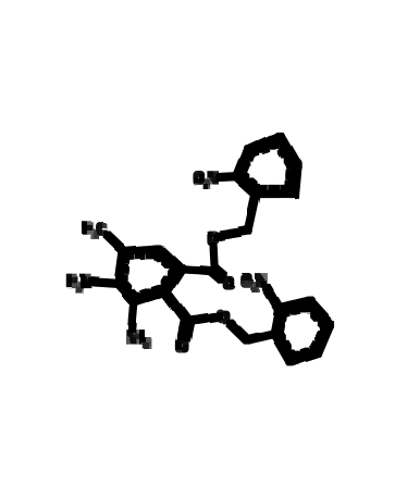 Cc1cc(C(=O)OCc2ccccc2[N+](=O)[O-])c(C(=O)OCc2ccccc2[N+](=O)[O-])c(N)c1N